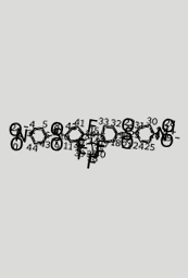 O=[N+]([O-])c1ccc(S(=O)(=O)c2ccc(C(F)(c3ccc(S(=O)(=O)c4ccc([N+](=O)[O-])cc4)cc3)C(F)(F)C(F)(F)F)cc2)cc1